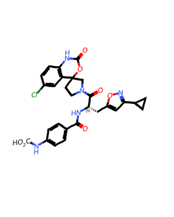 O=C(O)Nc1ccc(C(=O)N[C@@H](Cc2cc(C3CC3)no2)C(=O)N2CCC3(C2)OC(=O)Nc2ccc(Cl)cc23)cc1